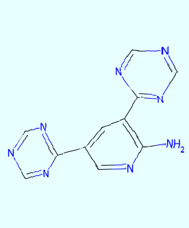 Nc1ncc(-c2ncncn2)cc1-c1ncncn1